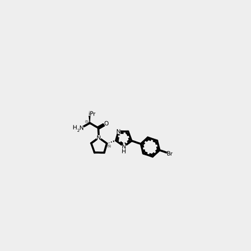 CC(C)[C@H](N)C(=O)N1CCC[C@H]1c1ncc(-c2ccc(Br)cc2)[nH]1